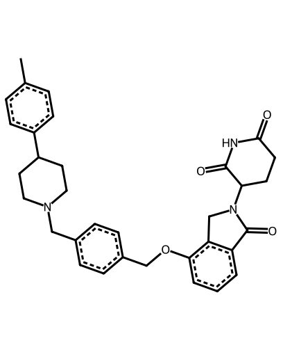 Cc1ccc(C2CCN(Cc3ccc(COc4cccc5c4CN(C4CCC(=O)NC4=O)C5=O)cc3)CC2)cc1